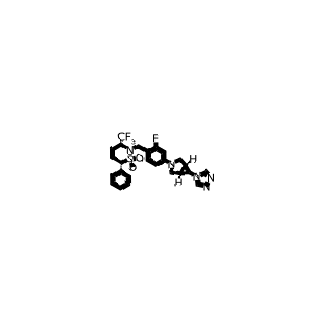 O=S1(=O)[C@H](c2ccccc2)CC[C@H](C(F)(F)F)N1Cc1ccc(N2C[C@@H]3C(n4cnnc4)[C@@H]3C2)cc1F